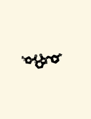 O=C([C@@H]1CCCc2nn(Cc3cccc(Br)c3)c(=O)n21)N1CC[C@H](F)C1